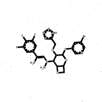 N/C(=C\N(N)C1C2OCC2OC(Sc2cncc(Br)c2)C1OCc1nnn[nH]1)c1cc(F)c(F)c(F)c1